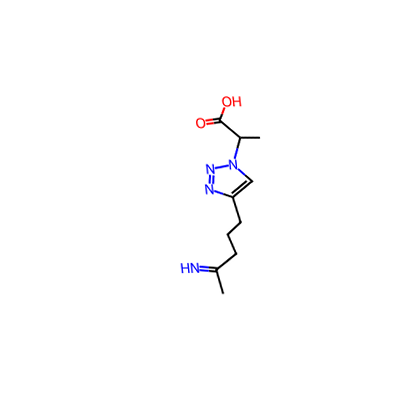 CC(=N)CCCc1cn(C(C)C(=O)O)nn1